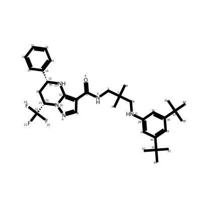 CC(C)(CNC(=O)c1cnn2c1N[C@@H](c1ccccc1)C[C@H]2C(F)(F)F)CNc1cc(C(C)(C)C)cc(C(C)(C)C)c1